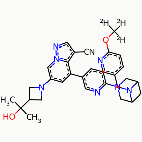 [2H]C([2H])([2H])Oc1ccc(CN2C3CC2CN(c2ccc(-c4cc(N5CC(C(C)(C)O)C5)cn5ncc(C#N)c45)cn2)C3)cn1